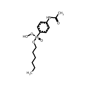 CCCCCCO[As](=O)(OO)c1ccc(NC(C)=O)cc1